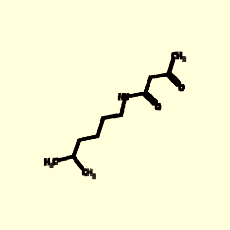 CC(=O)CC(=O)NCCCCC(C)C